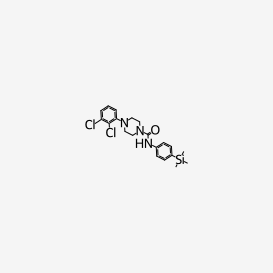 C[Si](C)(C)c1ccc(NC(=O)N2CCN(c3cccc(Cl)c3Cl)CC2)cc1